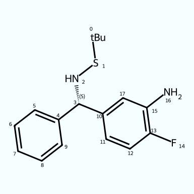 CC(C)(C)SN[C@@H](c1ccccc1)c1ccc(F)c(N)c1